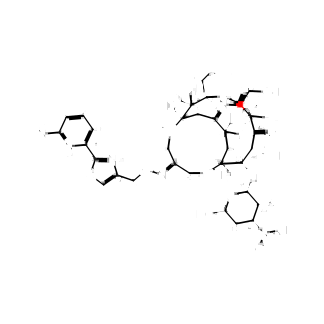 CCC(=O)/N=C1/C[C@H]2OC/C(=N\OCc3coc(-c4cccc(N)n4)n3)CO[C@](C)(C[C@H]1C)[C@H](O[C@@H]1O[C@H](C)C[C@H](N(C)C)[C@H]1O)[C@@H](C)C(=O)[C@](C)(F)C(=O)O[C@H](CC)[C@@]2(C)O